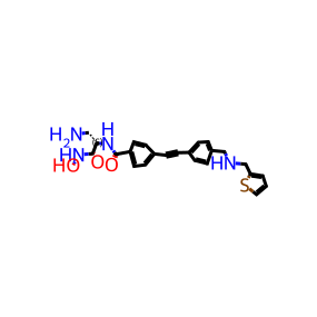 NC[C@H](NC(=O)c1ccc(C#Cc2ccc(CNCc3cccs3)cc2)cc1)C(=O)NO